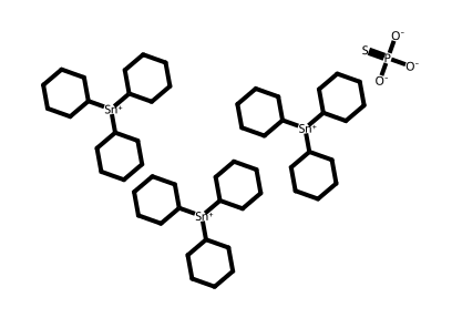 C1CC[CH]([Sn+]([CH]2CCCCC2)[CH]2CCCCC2)CC1.C1CC[CH]([Sn+]([CH]2CCCCC2)[CH]2CCCCC2)CC1.C1CC[CH]([Sn+]([CH]2CCCCC2)[CH]2CCCCC2)CC1.[O-]P([O-])([O-])=S